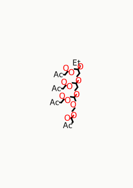 CCOC(CCOC(CCOC(COCCOC(=O)CC(C)=O)COC(=O)CC(C)=O)COC(=O)CC(C)=O)COC(=O)CC(C)=O